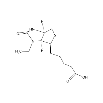 CCN1C(=O)N[C@H]2CS[C@@H](CCCCC(=O)O)[C@H]21